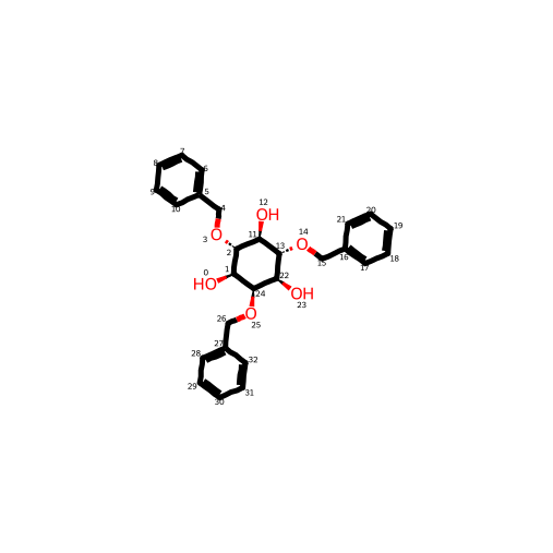 O[C@H]1[C@H](OCc2ccccc2)[C@@H](O)[C@H](OCc2ccccc2)[C@@H](O)[C@H]1OCc1ccccc1